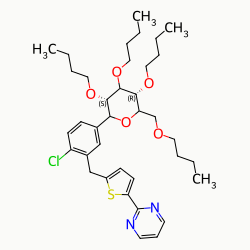 CCCCOCC1OC(c2ccc(Cl)c(Cc3ccc(-c4ncccn4)s3)c2)[C@H](OCCCC)C(OCCCC)[C@@H]1OCCCC